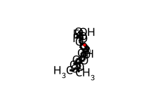 CCOC(C)OC1C(=O)OC2C3OC4(OC3OC12)C1CC2C[C@H]4CC(OC(=O)C(F)(F)S(=O)(=O)O)(C2)C1